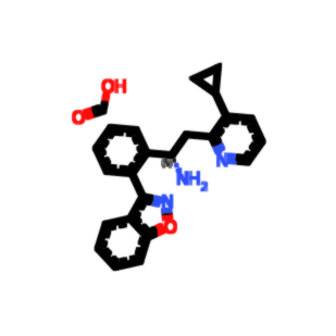 N[C@@H](Cc1ncccc1C1CC1)c1ccccc1-c1noc2ccccc12.O=CO